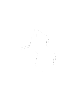 CCCC(=O)O.N=N/C=N/N